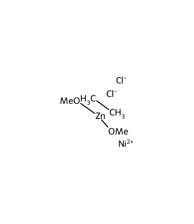 CC.C[O][Zn][O]C.[Cl-].[Cl-].[Ni+2]